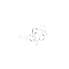 COc1cc(Nc2ccc3ncn([C@@H](C)c4cccnc4)c3n2)n[nH]1